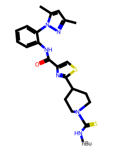 CCCCNC(=S)N1CCC(c2nc(C(=O)Nc3ccccc3-n3nc(C)cc3C)cs2)CC1